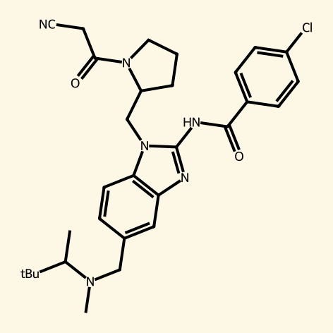 CC(N(C)Cc1ccc2c(c1)nc(NC(=O)c1ccc(Cl)cc1)n2CC1CCCN1C(=O)CC#N)C(C)(C)C